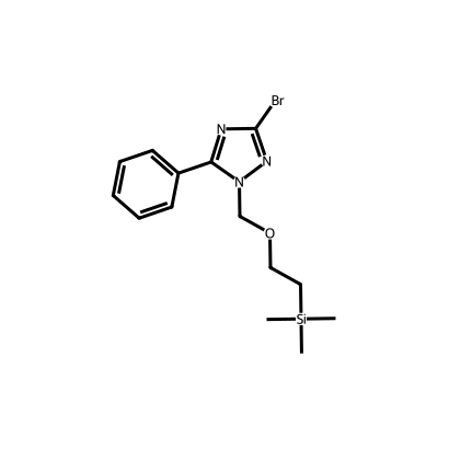 C[Si](C)(C)CCOCn1nc(Br)nc1-c1ccccc1